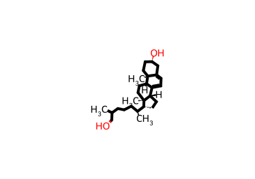 CC(CO)CCC[C@@H](C)[C@H]1CC[C@H]2C3=CC=C4C[C@@H](O)CC[C@]4(C)[C@H]3CC[C@]12C